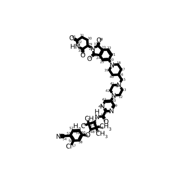 CC1(C)[C@H](NC(=O)c2ncc(N3CCN(CC4CCN(c5ccc6c(c5)C(=O)N(C5CCC(=O)NC5=O)C6=O)CC4)CC3)cn2)C(C)(C)[C@H]1Oc1ccc(C#N)c(Cl)c1